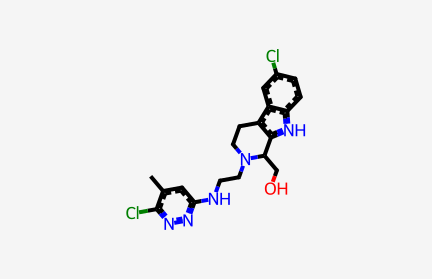 Cc1cc(NCCN2CCc3c([nH]c4ccc(Cl)cc34)C2CO)nnc1Cl